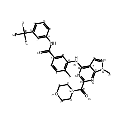 Cc1ccc(C(=O)Nc2cccc(C(F)(F)F)c2)cc1Nc1nc(C(=O)N2CCOCC2)nc2c1cnn2C